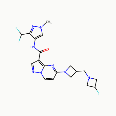 Cn1cc(NC(=O)c2cnn3ccc(N4CC(CN5CC(F)C5)C4)nc23)c(C(F)F)n1